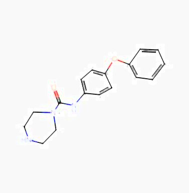 O=C(Nc1ccc(Oc2ccccc2)cc1)N1CCNCC1